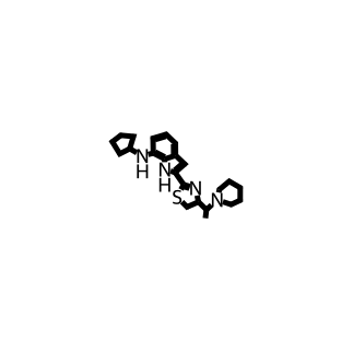 CC(C1CSC(c2cc3cccc(NC4CCCC4)c3[nH]2)=N1)N1CCCCC1